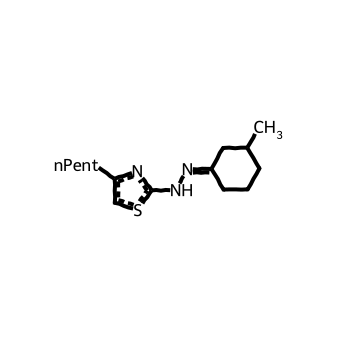 CCCCCc1csc(N/N=C2\CCCC(C)C2)n1